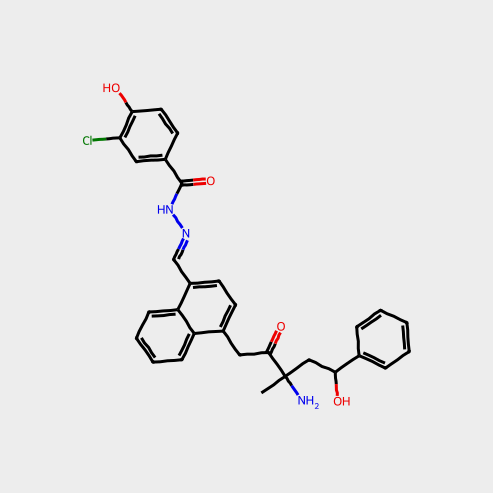 CC(N)(CC(O)c1ccccc1)C(=O)Cc1ccc(/C=N/NC(=O)c2ccc(O)c(Cl)c2)c2ccccc12